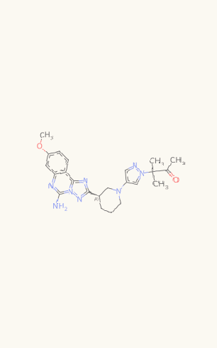 COc1ccc2c(c1)nc(N)n1nc([C@@H]3CCCN(c4cnn(C(C)(C)C(C)=O)c4)C3)nc21